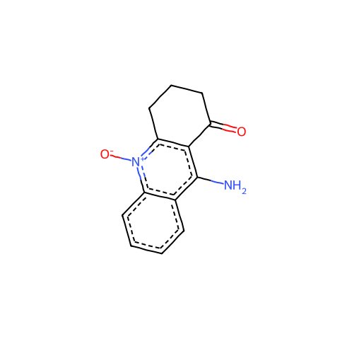 Nc1c2c([n+]([O-])c3ccccc13)CCCC2=O